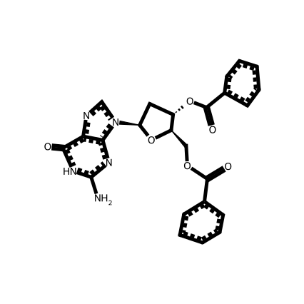 Nc1nc2c(ncn2[C@H]2C[C@H](OC(=O)c3ccccc3)[C@@H](COC(=O)c3ccccc3)O2)c(=O)[nH]1